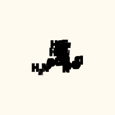 NCc1cccc(C2CCN(C(=O)c3cncc(-c4cccc(Cl)c4)c3)CC2)c1.O=C(O)C(F)(F)F.O=C(O)C(F)(F)F